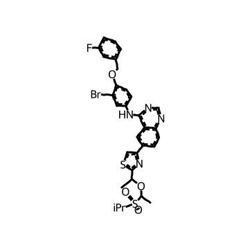 CC(OC(C)S(=O)(=O)C(C)C)c1nc(-c2ccc3ncnc(Nc4ccc(OCc5cccc(F)c5)c(Br)c4)c3c2)cs1